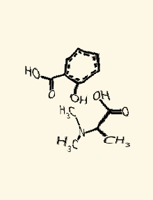 CC(C(=O)O)N(C)C.O=C(O)c1ccccc1O